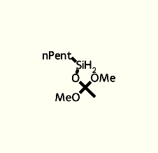 CCCCC[SiH2]OC(C)(OC)OC